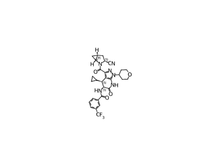 N#C[C@@H]1C[C@H]2C[C@H]2N1C(=O)c1nn(C2CCOCC2)c2c1[C@H](C1CC1)[C@H](NC(=O)c1cccc(C(F)(F)F)c1)C(=O)N2